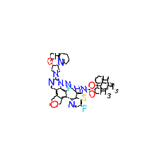 COC1CN(c2ncc3c4c(c(-c5ncc(F)c6sc(NC(=O)OC(C)(C)C)c(C#N)c56)c(F)c3n2)COC4)CC1N1CCCCC1